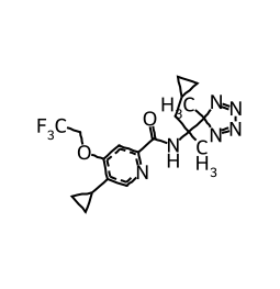 CC1(C(C)(CC2CC2)NC(=O)c2cc(OCC(F)(F)F)c(C3CC3)cn2)N=NN=N1